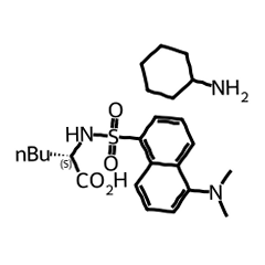 CCCC[C@H](NS(=O)(=O)c1cccc2c(N(C)C)cccc12)C(=O)O.NC1CCCCC1